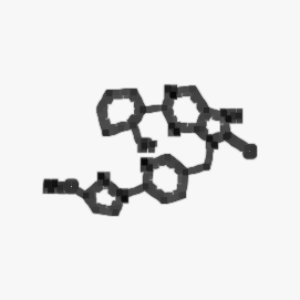 COc1ccn(-c2ccc(Cn3c(=O)[nH]c4cnc(-c5ccccc5C(C)C)nc43)cn2)n1